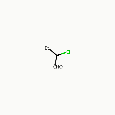 CCC(Cl)C=O